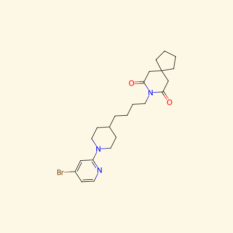 O=C1CC2(CCCC2)CC(=O)N1CCCCC1CCN(c2cc(Br)ccn2)CC1